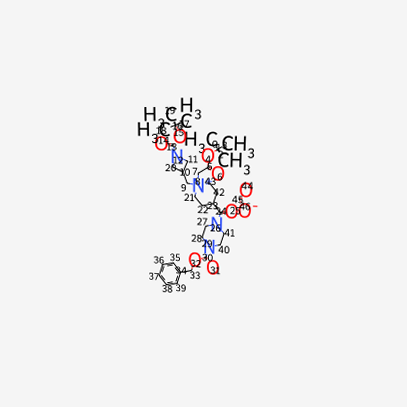 CC(C)(C)OC(=O)C[N+]1(CC2CN(C(=O)OC(C)(C)C)C2)CCC(C(=O)N2CCN(C(=O)OCc3ccccc3)CC2)CC1.O=C[O-]